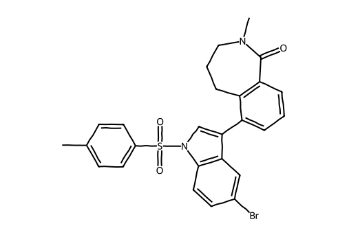 Cc1ccc(S(=O)(=O)n2cc(-c3cccc4c3CCCN(C)C4=O)c3cc(Br)ccc32)cc1